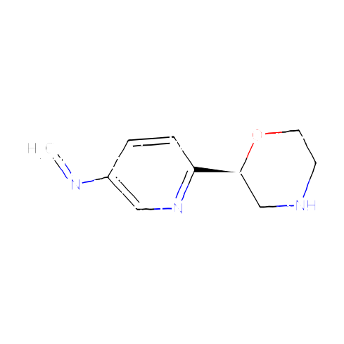 C=Nc1ccc([C@@H]2CNCCO2)nc1